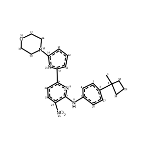 CC1(c2ccc(Nc3nc(-c4cccc(N5CCOCC5)n4)ccc3[N+](=O)[O-])cc2)CCC1